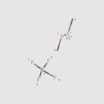 CS[SH+]C.F[B-](F)(F)F